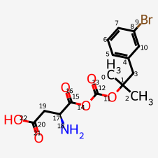 CC(C)(Cc1cccc(Br)c1)OC(=O)OC(=O)[C@@H](N)CC(=O)O